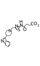 O=C(O)CCC(=O)Nc1nc(CN2CCC(c3c[nH]c4ccccc34)CC2)cs1